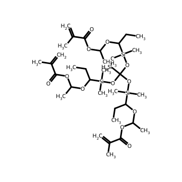 C=C(C)C(=O)OC(C)OC(CC)[Si](C)(C)OC([SiH3])(O[Si](C)(C)C(CC)OC(C)OC(=O)C(=C)C)O[Si](C)(C)C(CC)OC(C)OC(=O)C(=C)C